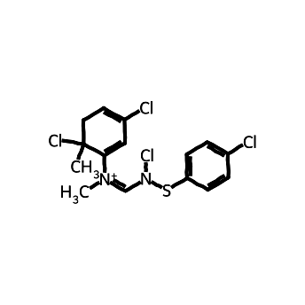 C[N+](=CN(Cl)Sc1ccc(Cl)cc1)C1=CC(Cl)=CCC1(C)Cl